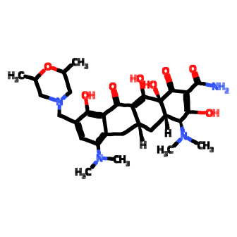 CC1CN(Cc2cc(N(C)C)c3c(c2O)C(=O)C2=C(O)[C@]4(O)C(=O)C(C(N)=O)=C(O)[C@@H](N(C)C)[C@@H]4C[C@@H]2C3)CC(C)O1